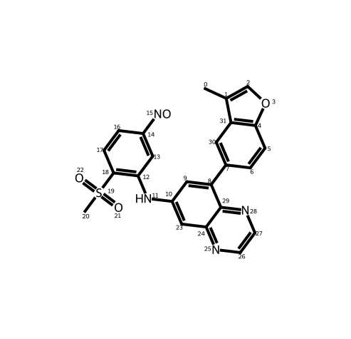 Cc1coc2ccc(-c3cc(Nc4cc(N=O)ccc4S(C)(=O)=O)cc4nccnc34)cc12